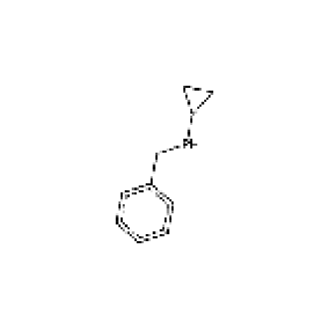 c1ccc(CPC2CC2)cc1